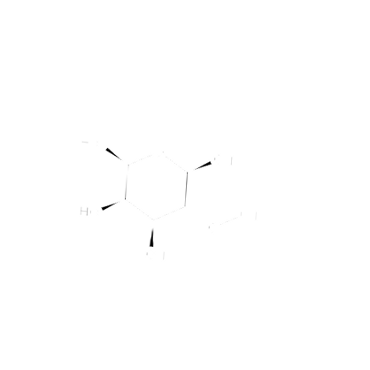 CO[C@@H]1[C@@H](O)[C@@H](O)[C@@H](C)O[C@H]1O